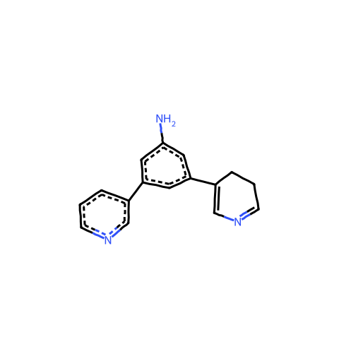 Nc1cc(C2=CN=CCC2)cc(-c2cccnc2)c1